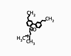 C=CCc1ccc(O)c(-c2cc(CC=C)ccc2OCCN(CC)CC)c1